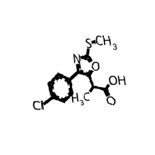 CSc1nc(-c2ccc(Cl)cc2)c(C(C)C(=O)O)o1